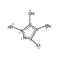 CCCn1nc(CC)c(C(C)(C)C)c1O